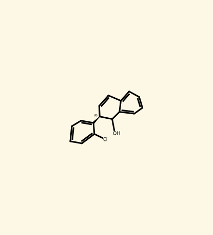 OC1c2ccccc2C=C[C@@H]1c1ccccc1Cl